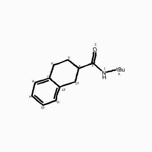 CC(C)(C)NC(=O)C1CCc2ccccc2C1